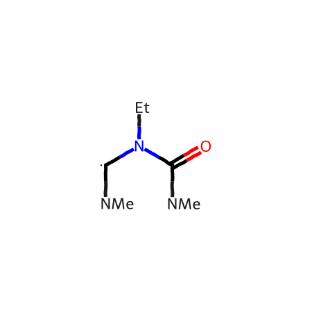 CCN([CH]NC)C(=O)NC